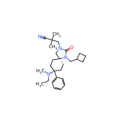 CCN(C)[C@]1(c2ccccc2)CC[C@]2(CC1)CN(CC(C)(C)C#N)C(=O)N2CC1CCC1